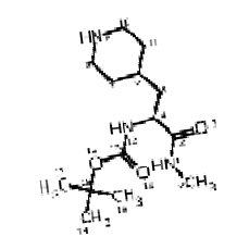 CNC(=O)[C@H](CC1CCNCC1)NC(=O)OC(C)(C)C